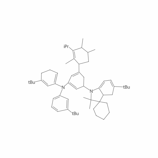 CC1=C(C(C)C)C(C)C(C)CC1C1=CC(N(C2=CCCC(C(C)(C)C)=C2)c2cccc(C(C)(C)C)c2)=CC(N2C3=CC=C(C(C)(C)C)CC3C3(CCCCC3)C2(C)C)C1